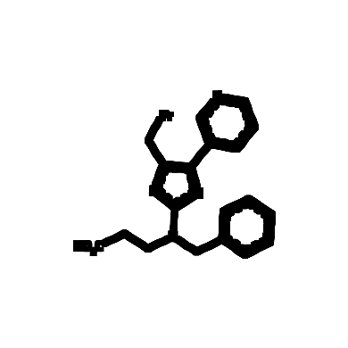 CC(C)Cc1sc(N(CCC(=O)O)Cc2ccccc2)nc1-c1cccnc1